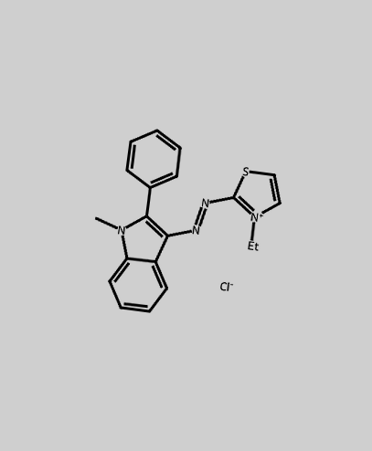 CC[n+]1ccsc1N=Nc1c(-c2ccccc2)n(C)c2ccccc12.[Cl-]